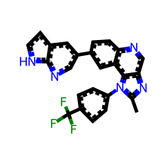 Cc1nc2cnc3ccc(-c4cnc5[nH]ccc5c4)cc3c2n1-c1ccc(C(F)(F)F)cc1